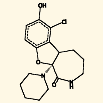 O=C1NCCCC2c3c(ccc(O)c3Cl)O[C@]12N1CCCCC1